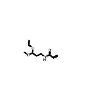 C=CC(=O)NCCC(OC)OCC